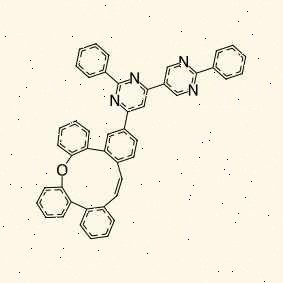 C1=C\c2ccc(-c3cc(-c4cnc(-c5ccccc5)nc4)nc(-c4ccccc4)n3)cc2-c2ccccc2Oc2ccccc2-c2ccccc2/1